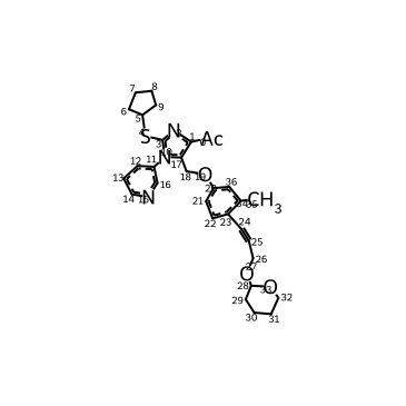 CC(=O)c1nc(SC2CCCC2)n(-c2cccnc2)c1COc1ccc(C#CCOC2CCCCO2)c(C)c1